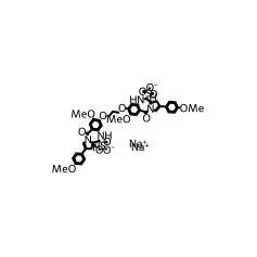 COc1ccc(C2=CN3C(=O)c4cc(OC)c(OCCCOc5cc6c(cc5OC)C(=O)N5C=C(c7ccc(OC)cc7)C[C@H]5C(S(=O)(=O)[O-])N6)cc4NC(S(=O)(=O)[O-])[C@@H]3C2)cc1.[Na+].[Na+]